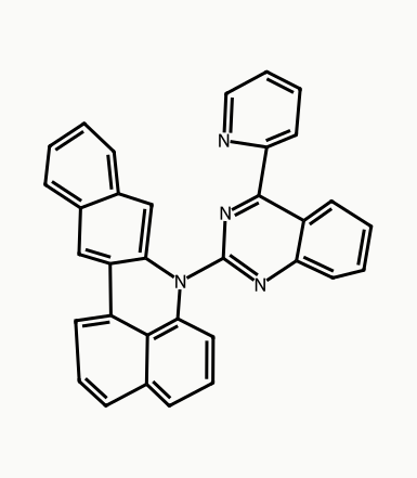 c1ccc(-c2nc(N3c4cc5ccccc5cc4-c4cccc5cccc3c45)nc3ccccc23)nc1